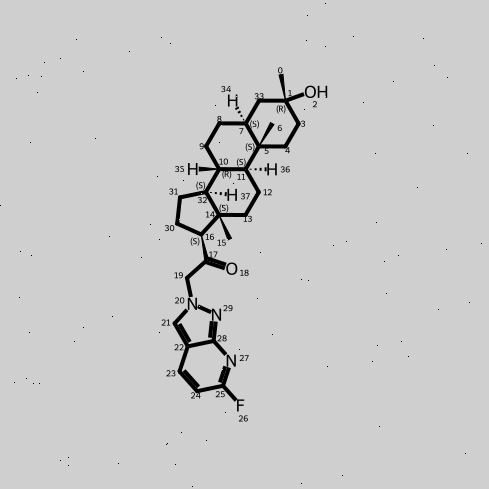 C[C@@]1(O)CC[C@@]2(C)[C@@H](CC[C@@H]3[C@@H]2CC[C@]2(C)[C@@H](C(=O)Cn4cc5ccc(F)nc5n4)CC[C@@H]32)C1